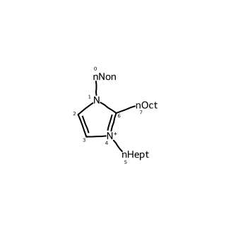 CCCCCCCCCn1cc[n+](CCCCCCC)c1CCCCCCCC